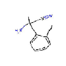 Cc1ccccc1C(C)(N)C#N